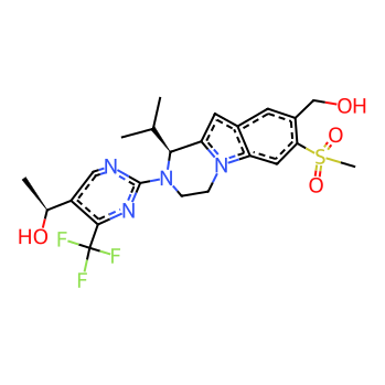 CC(C)[C@H]1c2cc3cc(CO)c(S(C)(=O)=O)cc3n2CCN1c1ncc([C@H](C)O)c(C(F)(F)F)n1